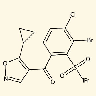 CC(C)S(=O)(=O)c1c(C(=O)c2cnoc2C2CC2)ccc(Cl)c1Br